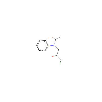 O=CC1Sc2ccccc2N1CC(O)CBr